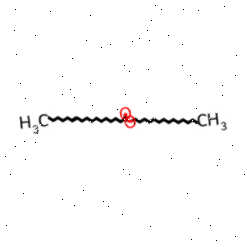 CCCCCCC=CCCCCCCCCCC(=O)OCCCCCCCCCCCCCCC